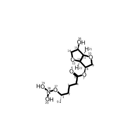 C[C@@H](CCCC(=O)O[C@@H]1CO[C@H]2[C@@H]1OC[C@H]2O)ON(O)O